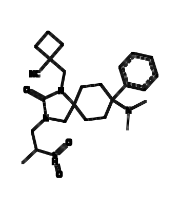 CC(CN1CC2(CCC(c3ccccc3)(N(C)C)CC2)N(CC2(C#N)CCC2)C1=O)[SH](=O)=O